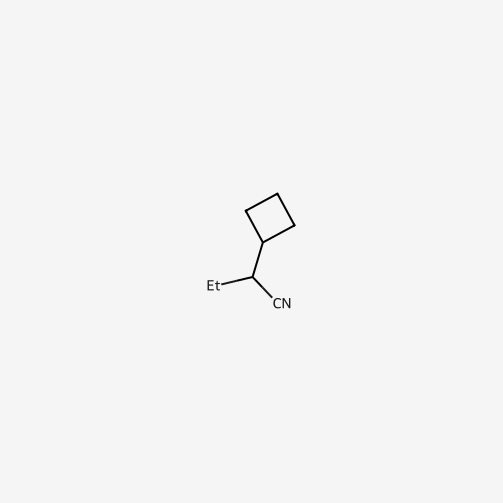 CCC(C#N)C1CCC1